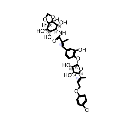 C/C(=C\c1ccc(O[C@@H]2O[C@H](/C(C)=C/COc3ccc(Cl)cc3)[C@@H](O)[C@@H]2O)c(O)c1)C(=O)N[C@@H]1[C@H](O)[C@@H](O)[C@H]2OCO[C@H]2[C@@H]1O